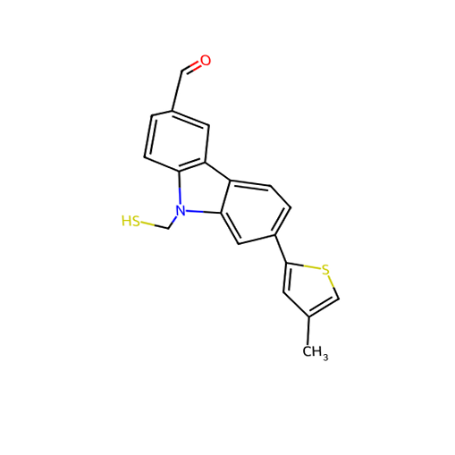 Cc1csc(-c2ccc3c4cc(C=O)ccc4n(CS)c3c2)c1